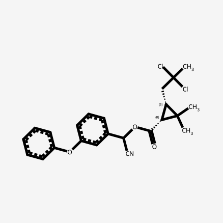 CC(Cl)(Cl)C[C@H]1[C@@H](C(=O)OC(C#N)c2cccc(Oc3ccccc3)c2)C1(C)C